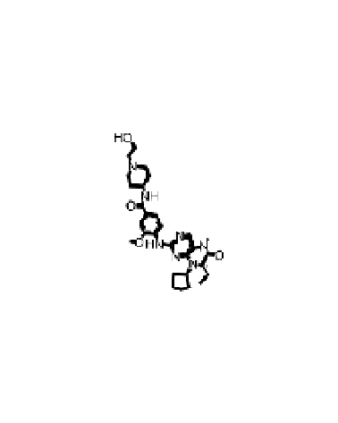 CC[C@@H]1C(=O)N(C)c2cnc(Nc3ccc(C(=O)NC4CCN(CCO)CC4)cc3OC)nc2N1C1CCCC1